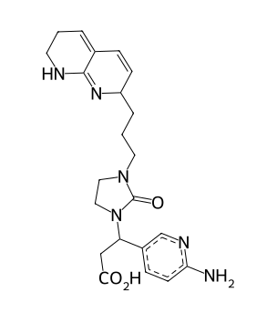 Nc1ccc(C(CC(=O)O)N2CCN(CCCC3C=CC4=CCCNC4=N3)C2=O)cn1